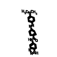 CN(C)c1ccc(/N=N/c2ccc(C(=O)Nc3ccc4[nH]nnc4c3)cc2)cc1